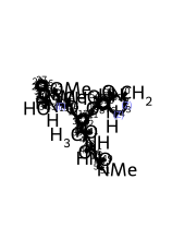 C=C1/C=C\C=C/Nc2cc(OCc3cc(COC(=C)/C=C4\CC(OC)N5c6ccccc6C[C@H]5C(O)N4)cc(N(C)C(=O)CNC(=O)CNC(=O)CNC)c3)c(OC)cc2C(=O)N1